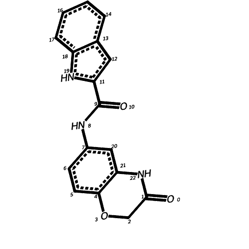 O=C1COc2ccc(NC(=O)c3cc4ccccc4[nH]3)cc2N1